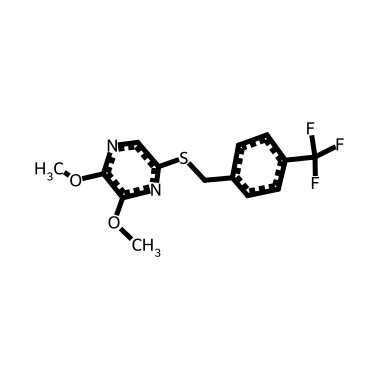 COc1ncc(SCc2ccc(C(F)(F)F)cc2)nc1OC